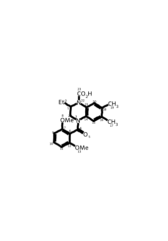 CCC1CN(C(=O)c2c(OC)cccc2OC)c2cc(C)c(C)cc2N1C(=O)O